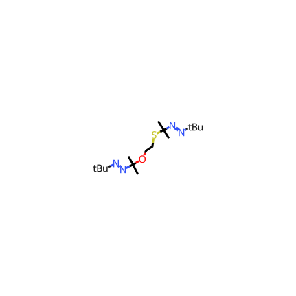 CC(C)(C)/N=N/C(C)(C)OCCSC(C)(C)/N=N/C(C)(C)C